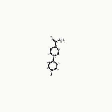 Cc1cnc(-c2ccc(C(N)=O)cc2)nc1